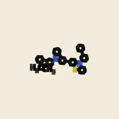 CC1(C)c2ccccc2-c2cc(-n3c4ccccc4c4cc(-c5ccc6c(c5)Sc5ccccc5N6c5cccc(-c6ccccc6)c5)ccc43)ccc21